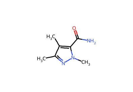 Cc1nn(C)c(C(N)=O)c1C